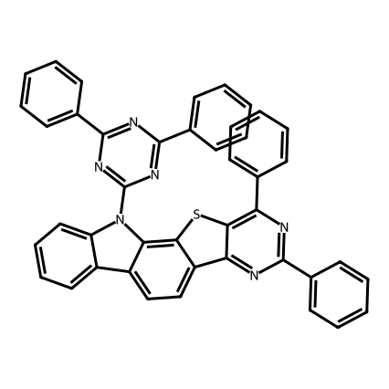 c1ccc(-c2nc(-c3ccccc3)nc(-n3c4ccccc4c4ccc5c6nc(-c7ccccc7)nc(-c7ccccc7)c6sc5c43)n2)cc1